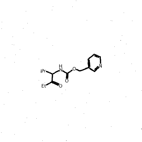 CCC(=O)C(NC(=O)OCc1cccnc1)C(C)C